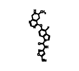 CC1Cc2c(ncnc2Oc2ccc3c(ccn3C(=O)Nc3cc(C(C)(C)C)on3)c2F)CN1